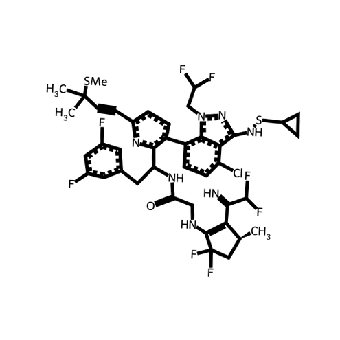 CSC(C)(C)C#Cc1ccc(-c2ccc(Cl)c3c(NSC4CC4)nn(CC(F)F)c23)c(C(Cc2cc(F)cc(F)c2)NC(=O)CNC2=C(C(=N)C(F)F)[C@@H](C)CC2(F)F)n1